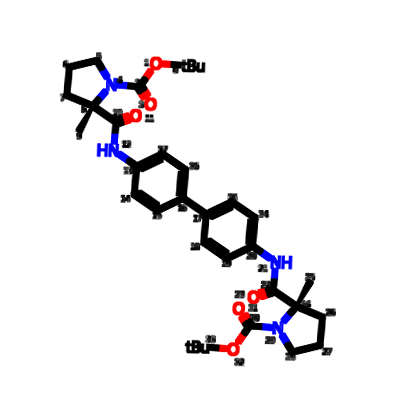 CC(C)(C)OC(=O)N1CCC[C@@]1(C)C(=O)Nc1ccc(-c2ccc(NC(=O)[C@]3(C)CCCN3C(=O)OC(C)(C)C)cc2)cc1